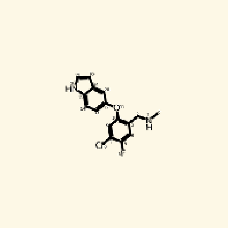 CNCc1cc(F)c(Cl)cc1Oc1ccc2[nH]ccc2c1